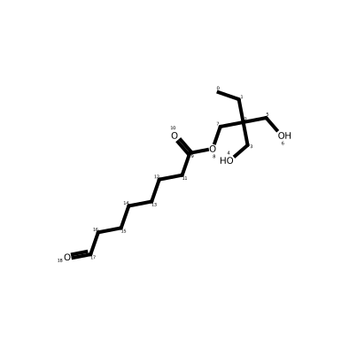 CCC(CO)(CO)COC(=O)CCCCCCC=O